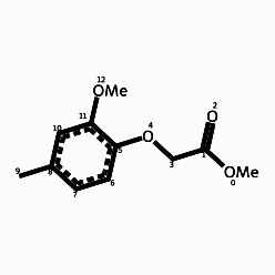 COC(=O)COc1ccc(C)cc1OC